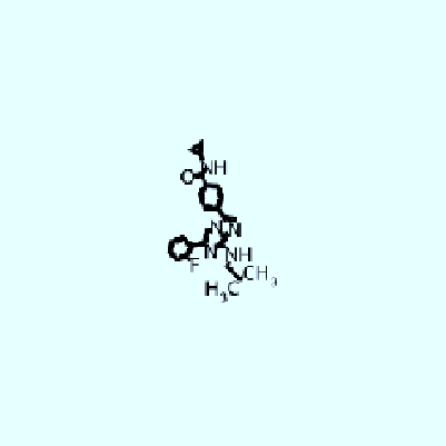 CC(C)CNc1nc(-c2ccccc2F)cn2c(-c3ccc(C(=O)NC4CC4)cc3)cnc12